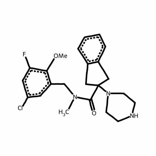 COc1c(F)cc(Cl)cc1CN(C)C(=O)C1(N2CCNCC2)Cc2ccccc2C1